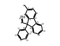 Cc1ccc2c(c1)C(C=P)(c1ccccc1)c1ccccc1-2